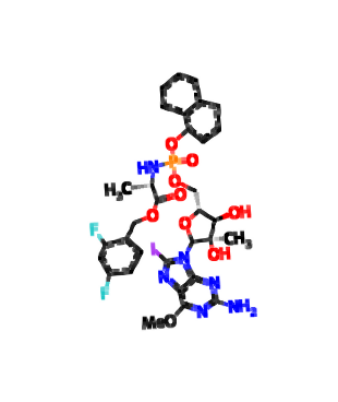 COc1nc(N)nc2c1nc(I)n2C1O[C@H](COP(=O)(N[C@@H](C)C(=O)OCc2ccc(F)cc2F)Oc2cccc3ccccc23)[C@@H](O)[C@@]1(C)O